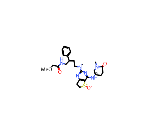 COCC(=O)NCC(CCN(C)c1nc2c(c(N[C@H]3CCC(=O)N(C)C3)n1)[S+]([O-])CC2)c1ccccc1